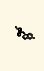 CCOC(=O)C[C@@H]1CCc2cc(C)ccc21